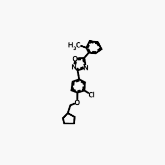 Cc1ccccc1-c1nc(-c2ccc(OCC3CCCC3)c(Cl)c2)no1